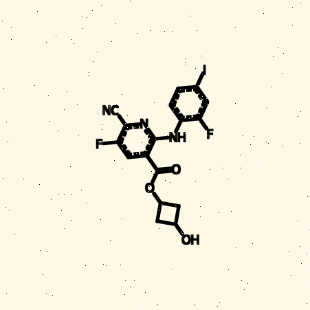 N#Cc1nc(Nc2ccc(I)cc2F)c(C(=O)OC2CC(O)C2)cc1F